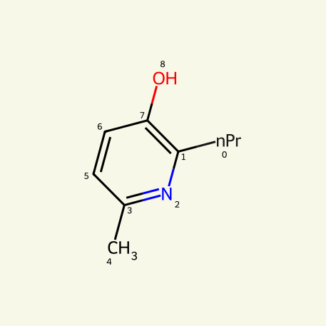 CCCc1nc(C)ccc1O